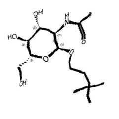 CC(=O)N[C@H]1[C@@H](OCCC(C)(C)C)O[C@H](CO)[C@@H](O)[C@@H]1O